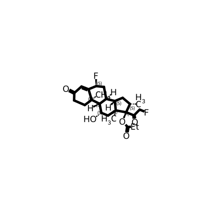 CCC(=O)O[C@]1(C(=O)CF)[C@@H](C)C[C@H]2[C@@H]3C[C@H](F)C4=CC(=O)CC[C@]4(C)[C@H]3[C@@H](O)C[C@@]21C